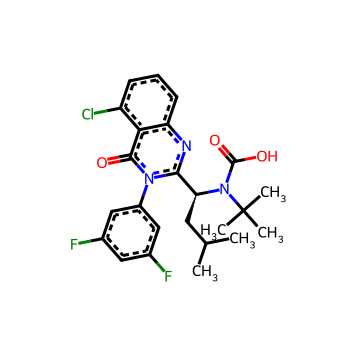 CC(C)C[C@@H](c1nc2cccc(Cl)c2c(=O)n1-c1cc(F)cc(F)c1)N(C(=O)O)C(C)(C)C